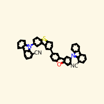 N#Cc1cccc2c3ccccc3n(-c3ccc4oc5ccc(-c6ccc7sc8ccc(-n9c%10ccccc%10c%10cccc(C#N)c%109)cc8c7c6)cc5c4c3)c12